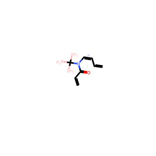 BC(B)(B)N(/C=C\C=C)C(=O)C=C